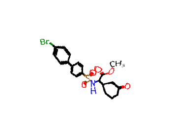 COC(=O)C(NS(=O)(=O)c1ccc(-c2ccc(Br)cc2)cc1)C1CCCC(=O)C1